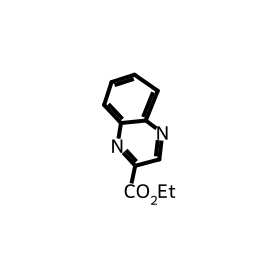 CCOC(=O)c1cnc2ccccc2n1